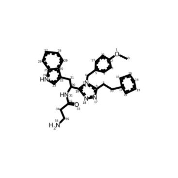 COc1ccc(Cn2c(CCc3ccccc3)nnc2C(Cc2c[nH]c3ccccc23)NC(=O)CCN)cc1